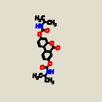 CC(C)NC(=O)OC1=CC2OC(=O)c3cc(OC(=O)NC(C)C)ccc3C2C=C1